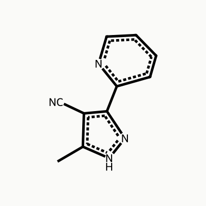 Cc1[nH]nc(-c2ccccn2)c1C#N